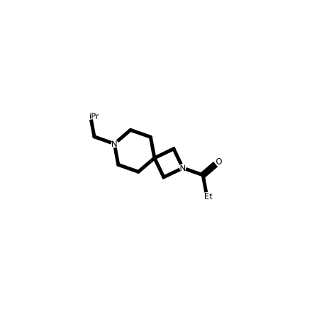 CCC(=O)N1CC2(CCN(CC(C)C)CC2)C1